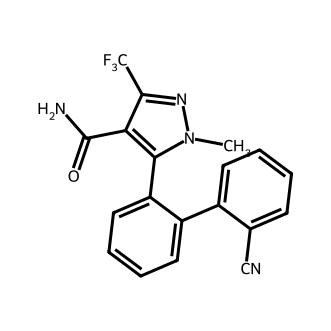 Cn1nc(C(F)(F)F)c(C(N)=O)c1-c1ccccc1-c1ccccc1C#N